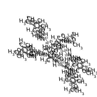 CC(=O)N[C@H](CSS)C(=O)N[C@H](C)C(=O)N[C@H](CCCNC(=N)NS(=O)(=O)c1c(C)c(C)c2c(c1C)CC(C)(C)O2)C(=O)N[C@H](CCCNC(=N)NS(=O)(=O)c1c(C)c(C)c2c(c1C)CC(C)(C)O2)C(=O)N[C@H](CCCNC(=N)NS(=O)(=O)c1c(C)c(C)c2c(c1C)CC(C)(C)O2)C(=O)N[C@H](C)C(=O)N[C@H](CCCNC(=N)NS(=O)(=O)c1c(C)c(C)c2c(c1C)CC(C)(C)O2)C(=O)O